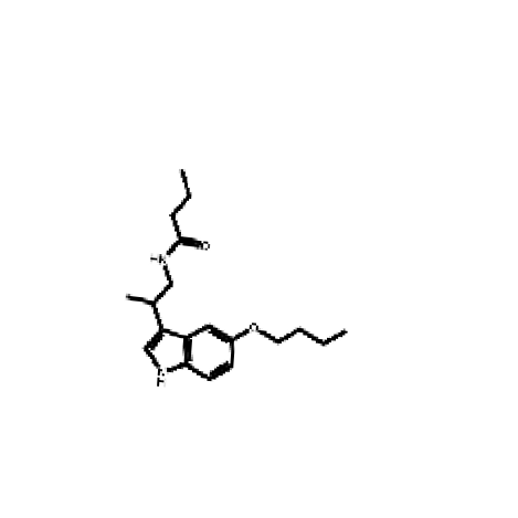 CCCCOc1ccc2[nH]cc(C(C)CNC(=O)CCC)c2c1